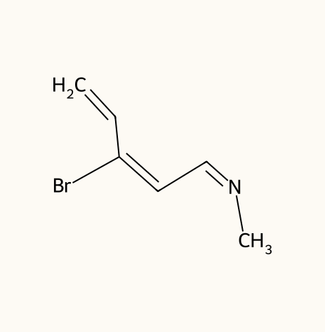 C=C/C(Br)=C\C=N/C